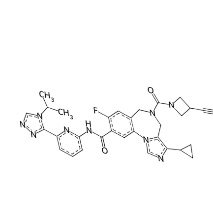 CC(C)n1cnnc1-c1cccc(NC(=O)c2cc3c(cc2F)CN(C(=O)N2CC(C#N)C2)Cc2c(C4CC4)ncn2-3)n1